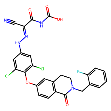 N#C/C(=N\Nc1cc(Cl)c(Oc2ccc3c(c2)CCN(Cc2ccccc2F)C3=O)c(Cl)c1)C(=O)NC(=O)O